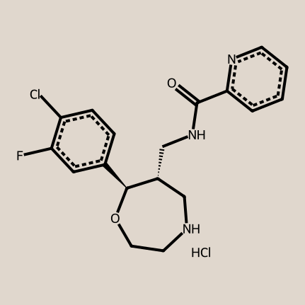 Cl.O=C(NC[C@@H]1CNCCO[C@H]1c1ccc(Cl)c(F)c1)c1ccccn1